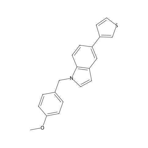 COc1ccc(Cn2ccc3cc(-c4ccsc4)ccc32)cc1